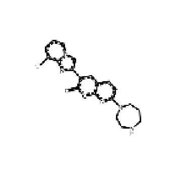 O=c1oc2nc(N3CCCNCC3)ccc2cc1-c1cn2cccc(Cl)c2n1